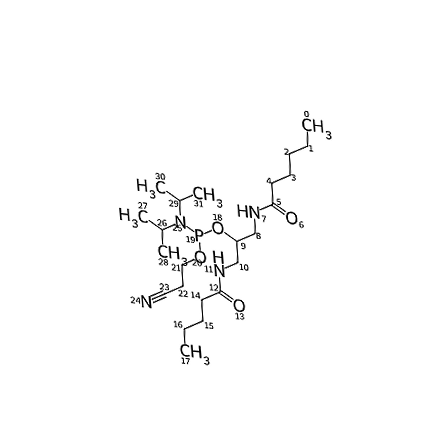 CCCCCC(=O)NCC(CNC(=O)CCCC)OP(OCCC#N)N(C(C)C)C(C)C